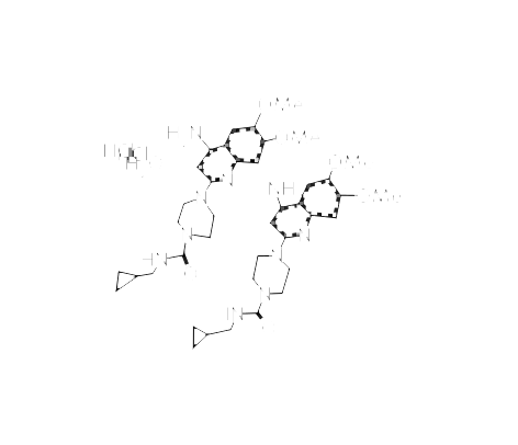 COc1cc2nc(N3CCN(C(=O)NCC4CC4)CC3)cc(N)c2cc1OC.COc1cc2nc(N3CCN(C(=O)NCC4CC4)CC3)cc(N)c2cc1OC.Cl.Cl.O